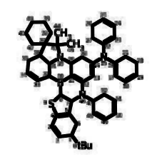 CC(C)(C)C1C=CC2=C(C1)C1C(S2)B2C3=C(C=C(N(C4=CC=CCC4)C4=CC=CCC4)CC3N3C4C2C=CCC4C2(CCCCC2)C3(C)C)N1C1C=CC=CC1